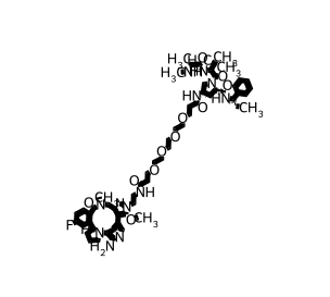 CC[C@H](NC(=O)[C@H]1C[C@@H](NC(=O)CCOCCOCCOCCOCCC(=O)NCCn2nc3c(c2OC)-c2cnc(N)c(c2)N2CCC[C@@H]2c2cc(F)ccc2C(=O)N(C)C3)CN1C(=O)C(NC(=O)[C@@H](C)NC)C(C)(C)C)c1ccccc1